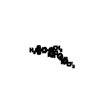 Cn1cc(-c2ccc(S(C)(=O)=O)cc2)c2ncnc(OC3CCN(c4ncc(C(F)(F)F)cn4)CC3)c21